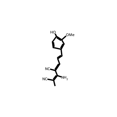 COc1cc(/C=C/C=C(C#N)/C(N)=C(/C)C#N)ccc1O